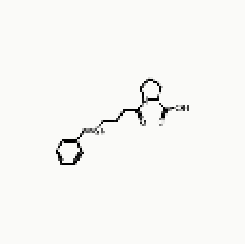 O=C(O)[C@@H]1CCCN1C(=O)CCC[Se]Cc1ccccc1